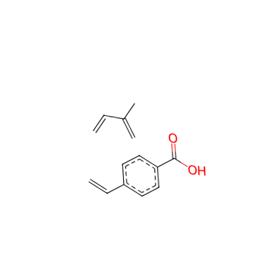 C=CC(=C)C.C=Cc1ccc(C(=O)O)cc1